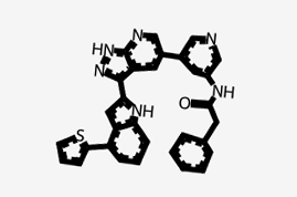 O=C(Cc1ccccc1)Nc1cncc(-c2cnc3[nH]nc(-c4cc5c(-c6cccs6)cccc5[nH]4)c3c2)c1